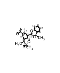 CC(NC(=O)c1cc(C(N)=O)cc(N(C)S(C)(=O)=O)c1)c1ccccc1